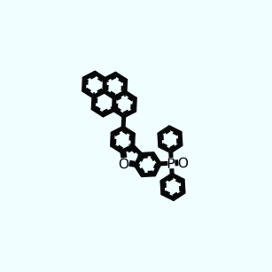 O=P(c1ccccc1)(c1ccccc1)c1ccc2oc3ccc(-c4ccc5ccc6cccc7ccc4c5c67)cc3c2c1